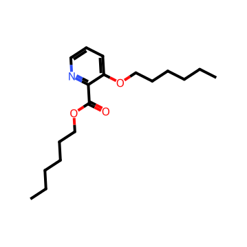 CCCCCCOC(=O)c1ncccc1OCCCCCC